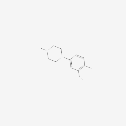 N#Cc1cc(N2CCN(C(=O)O)CC2)ccc1F